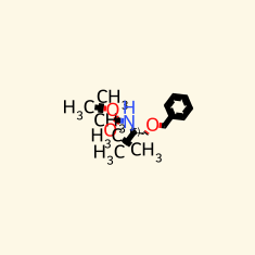 CC(C)(C)OC(=O)N[C@H](COCc1ccccc1)C(C)(C)C